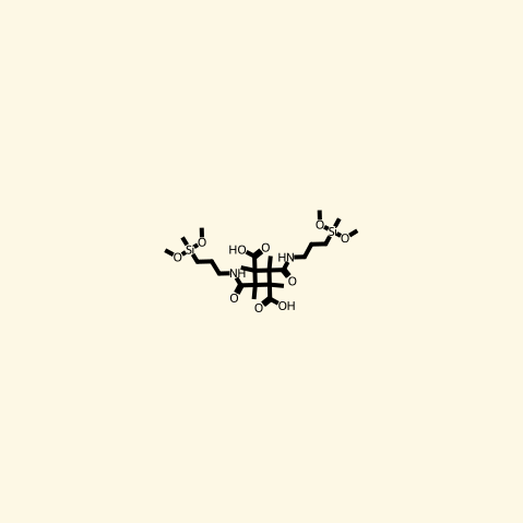 CO[Si](C)(CCCNC(=O)C1(C)C(C)(C(=O)O)C(C)(C(=O)NCCC[Si](C)(OC)OC)C1(C)C(=O)O)OC